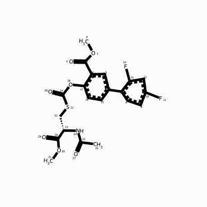 COC(=O)c1cc(-c2ccc(F)cc2F)ccc1OC(=O)SC[C@H](NC(C)=O)C(=O)OC